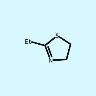 CCC1=NCCS1